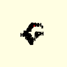 NC1CC(OC2CCN(c3ccc(-c4cnc5[nH]cc(C(=O)c6c(F)ccc(NS(=O)(=O)N7CCCC7)c6F)c5c4)cn3)CC2)C1.O=C(O)C(F)(F)F